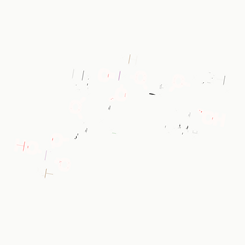 B[C@@H]1O[C@H](COP(=O)(S)O[C@H]2C(F)[C@@H](COP(=O)(O)S)O[C@H]2B)C(OC)[C@@H]1O